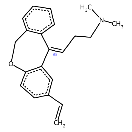 C=Cc1ccc2c(c1)/C(=C/CCN(C)C)c1ccccc1CO2